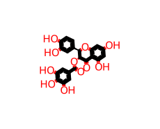 O=C(O[C@@H]1C(=O)c2c(O)cc(O)cc2O[C@@H]1c1ccc(O)c(O)c1)c1cc(O)c(O)c(O)c1